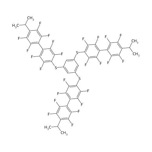 CC(C)c1c(F)c(F)c(-c2c(F)c(F)c(Sc3cc(Sc4c(F)c(F)c(-c5c(F)c(F)c(C(C)C)c(F)c5F)c(F)c4F)cc(Sc4c(F)c(F)c(-c5c(F)c(F)c(C(C)C)c(F)c5F)c(F)c4F)c3)c(F)c2F)c(F)c1F